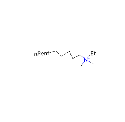 CCCCCCCCCC[N+](C)(C)CC